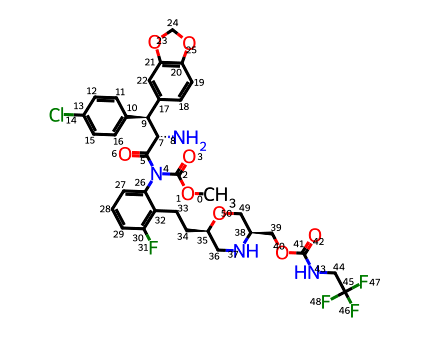 COC(=O)N(C(=O)[C@@H](N)[C@@H](c1ccc(Cl)cc1)c1ccc2c(c1)OCO2)c1cccc(F)c1CC[C@@H]1CN[C@H](COC(=O)NCC(F)(F)F)CO1